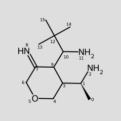 C[C@H](N)C1COCC(=N)C1C(N)C(C)(C)C